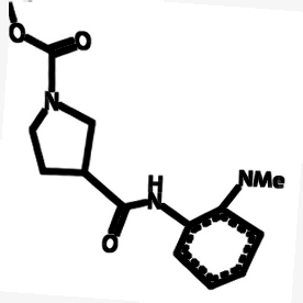 CNc1ccccc1NC(=O)C1CCN(C(=O)OC(C)(C)C)C1